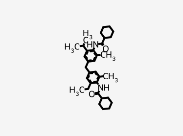 CCc1cc(Cc2cc(C)c(NC(=O)C3CCCCC3)c(C(C)C)c2)cc(C)c1NC(=O)C1CCCCC1